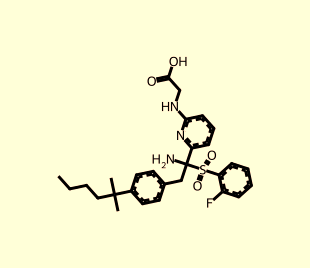 CCCCC(C)(C)c1ccc(CC(N)(c2cccc(NCC(=O)O)n2)S(=O)(=O)c2ccccc2F)cc1